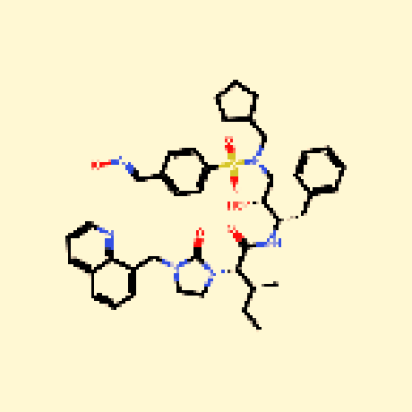 CC[C@H](C)[C@@H](C(=O)N[C@@H](Cc1ccccc1)[C@H](O)CN(CC1CCCC1)S(=O)(=O)c1ccc(C=NO)cc1)N1CCN(Cc2cccc3cccnc23)C1=O